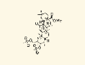 COC(=O)[C@]12CCC(C)(C)C[C@H]1[C@H]1C(=O)C=C3[C@@]4(C)C=C(COS(C)(=O)=O)[C@H](OS(C)(=O)=O)C(C)(C)[C@@H]4CC[C@@]3(C)[C@]1(N)CC2